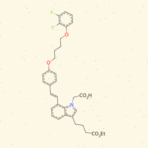 CCOC(=O)CCCc1cn(CC(=O)O)c2c(/C=C/c3ccc(OCCCCOc4cccc(F)c4F)cc3)cccc12